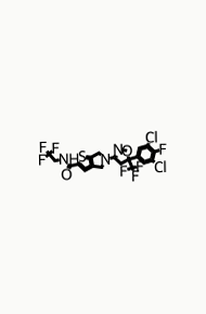 O=C(NCC(F)(F)F)c1cc2c(s1)CN(C1=NOC(c3cc(Cl)c(F)c(Cl)c3)(C(F)(F)F)C1)C2